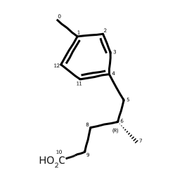 Cc1ccc(C[C@H](C)CCC(=O)O)cc1